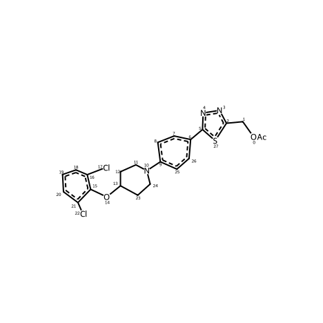 CC(=O)OCc1nnc(-c2ccc(N3CCC(Oc4c(Cl)cccc4Cl)CC3)cc2)s1